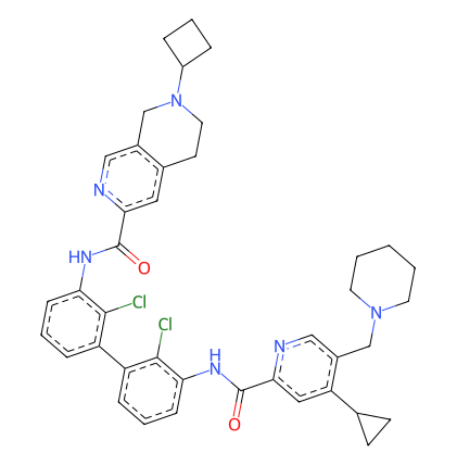 O=C(Nc1cccc(-c2cccc(NC(=O)c3cc(C4CC4)c(CN4CCCCC4)cn3)c2Cl)c1Cl)c1cc2c(cn1)CN(C1CCC1)CC2